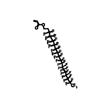 C=CC(=O)OCCC(F)(F)C(F)(F)C(F)(F)C(F)(F)C(F)(F)C(F)(F)C(F)(F)C(F)(F)C(F)(F)C(F)(F)C(F)(F)C(F)(F)C(F)(F)C(F)(F)C(F)(F)C(F)(F)F